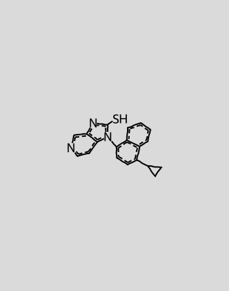 Sc1nc2cnccc2n1-c1ccc(C2CC2)c2ccccc12